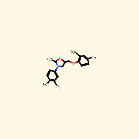 N#Cc1ccc(OCC2CN(c3ccc(C#N)c(C(F)(F)F)c3)C(C(F)(F)F)O2)c([N+](=O)[O-])c1